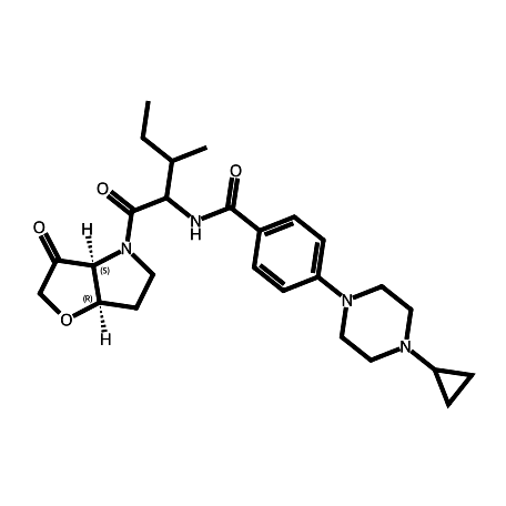 CCC(C)C(NC(=O)c1ccc(N2CCN(C3CC3)CC2)cc1)C(=O)N1CC[C@H]2OCC(=O)[C@H]21